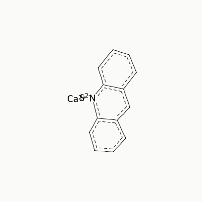 [Ca+2].[S-2].c1ccc2nc3ccccc3cc2c1